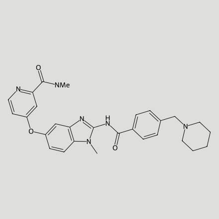 CNC(=O)c1cc(Oc2ccc3c(c2)nc(NC(=O)c2ccc(CN4CCCCC4)cc2)n3C)ccn1